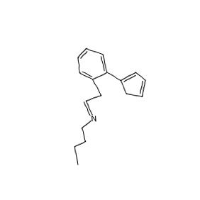 CCCCN=CCc1ccccc1C1=CC=CC1